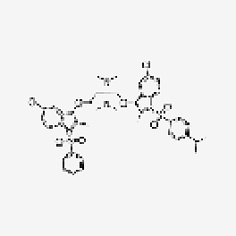 Cc1c(OCCC(COc2c(C)n(S(=O)(=O)c3ccc(C(C)C)cc3)c3ccc(Cl)cc23)(N(C)C)N(C)C)c2cc(Cl)ccc2n1S(=O)(=O)c1ccccc1